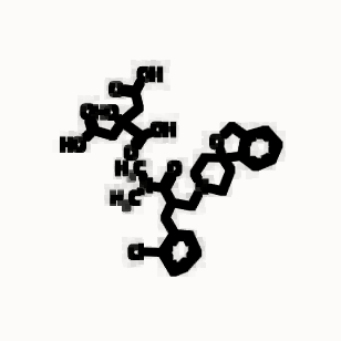 CN(C)C(=O)C(Cc1ccccc1Cl)CN1CCC2(CC1)OCc1ccccc12.O=C(O)CC(O)(CC(=O)O)C(=O)O